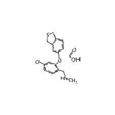 CNCc1ccc(Cl)cc1Oc1ccc2c(c1)CSC2.O=CO